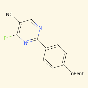 CCCCCc1ccc(-c2ncc(C#N)c(F)n2)cc1